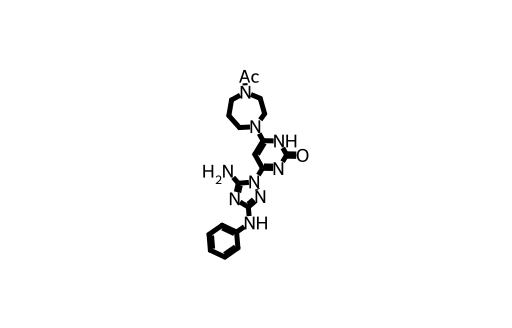 CC(=O)N1CCCN(c2cc(-n3nc(Nc4ccccc4)nc3N)nc(=O)[nH]2)CC1